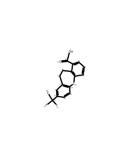 O=C(O)c1cccc2c1CCc1cc(C(F)(F)F)ccc1S2